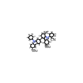 CC(C)(C)c1ccc2c(c1)c1ccc(-c3cccc4c3c3cc(C(C)(C)C)ccc3n4-c3c(C#N)cccc3C#N)cc1n2-c1ccccc1